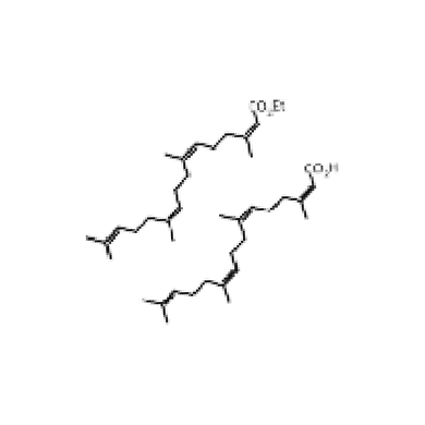 CC(C)=CCCC(C)=CCCC(C)=CCCC(C)=CC(=O)O.CCOC(=O)C=C(C)CCC=C(C)CCC=C(C)CCC=C(C)C